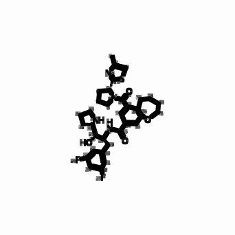 Cc1csc([C@H]2CCCN2C(=O)c2cc(C(=O)N[C@@H](Cc3cc(F)cc(F)c3)[C@H](O)[C@H]3CCCN3)cc3c2CCCCO3)n1